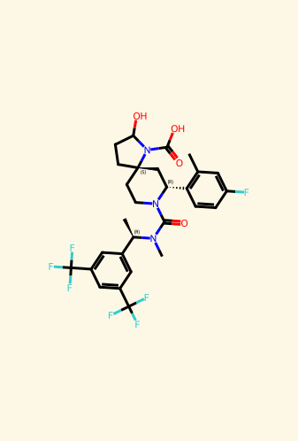 Cc1cc(F)ccc1[C@H]1C[C@]2(CCC(O)N2C(=O)O)CCN1C(=O)N(C)[C@H](C)c1cc(C(F)(F)F)cc(C(F)(F)F)c1